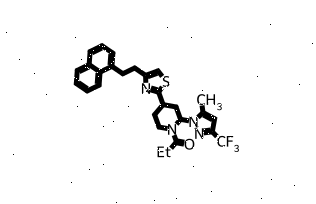 CCC(=O)N1CCC(c2nc(CCc3cccc4ccccc34)cs2)CC1n1nc(C(F)(F)F)cc1C